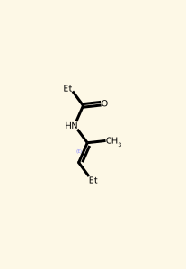 CC/C=C(\C)NC(=O)CC